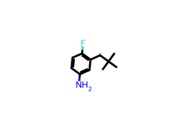 CC(C)(C)[CH]c1cc(N)ccc1F